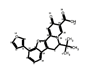 CC(C)(C)C1Cc2c(oc3c(-c4ccoc4)cccc23)-c2cc(=O)c(C(=O)O)cn21